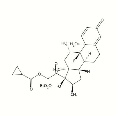 CCOC(=O)O[C@]1(C(=O)COC(=O)C2CC2)[C@H](C)C[C@H]2[C@@H]3CCC4=CC(=O)C=C[C@]4(C)[C@@]3(F)[C@@H](O)C[C@@]21C